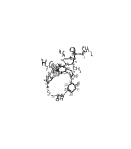 C=CC(=O)N1C[C@H](C)N(c2nc(=O)n3c4nc(c(F)cc24)-c2cc(ccc2F)NC(=O)CCCSc2cnc(C(C)C)c-3c2)C[C@H]1C